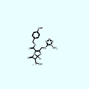 COc1ccc(COC(=O)C2=C(CSc3nnnn3N)S[C@@H]3C([C@@H](C)O)C(=O)N23)cc1